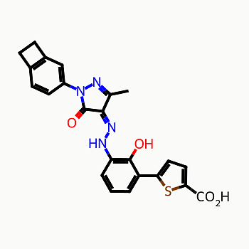 CC1=NN(c2ccc3c(c2)CC3)C(=O)/C1=N\Nc1cccc(-c2ccc(C(=O)O)s2)c1O